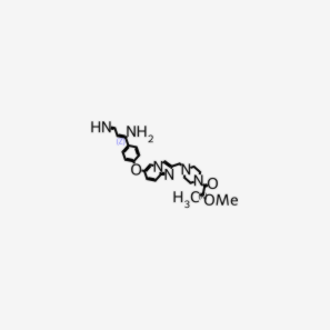 CO[C@H](C)C(=O)N1CCN(Cc2cn3cc(Oc4ccc(/C(N)=C/C=N)cc4)ccc3n2)CC1